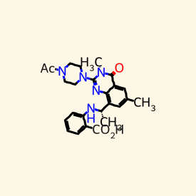 CC(=O)N1CCN(c2nc3c([C@H](C)Nc4ccccc4C(=O)O)cc(C)cc3c(=O)n2C)CC1